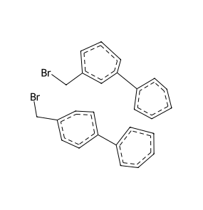 BrCc1ccc(-c2ccccc2)cc1.BrCc1cccc(-c2ccccc2)c1